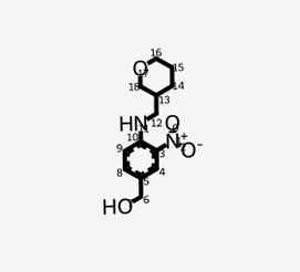 O=[N+]([O-])c1cc(CO)ccc1NCC1CCCOC1